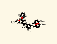 COc1ccc(CN(Cc2ccc(OC)cc2)c2cc(-c3ncc4c(N5C[C@H]6CC[C@@H](C5)N6C(=O)OC(C)(C)C)nc(OCC(F)(F)F)nc4c3F)c(C(F)(F)F)c(C)n2)cc1